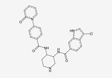 O=C(NC1CCNCC1NC(=O)c1ccc2c(Cl)c[nH]c2c1)c1ccc(-n2ccccc2=O)cc1